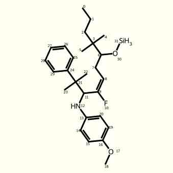 CCCC(C)(C)C(C/C=C(/F)C(Nc1ccc(OC)cc1)C(C)(C)c1ccccc1)O[SiH3]